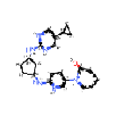 O=c1ccccn1-c1ccc(N[C@H]2CC[C@H](Nc3ncc(C4CC4)cn3)C2)nc1